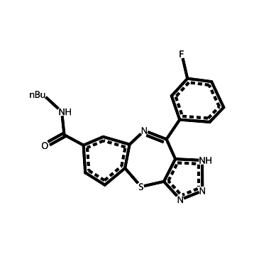 CCCCNC(=O)c1ccc2c(c1)N=C(c1cccc(F)c1)c1[nH]nnc1S2